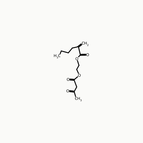 C=C(CCCC)C(=O)OCCOC(=O)CC(C)=O